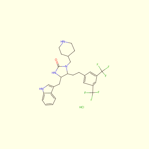 Cl.O=C1NC(Cc2c[nH]c3ccccc23)C(CCc2cc(C(F)(F)F)cc(C(F)(F)F)c2)N1CC1CCNCC1